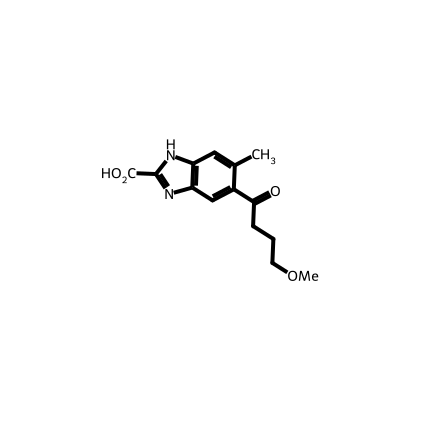 COCCCC(=O)c1cc2nc(C(=O)O)[nH]c2cc1C